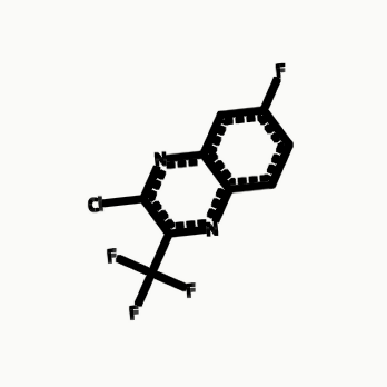 Fc1ccc2nc(C(F)(F)F)c(Cl)nc2c1